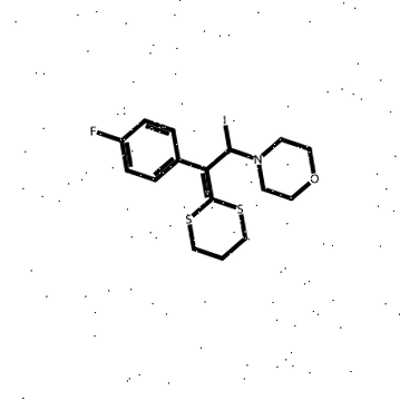 Fc1ccc(C(=C2SCCCS2)C(I)N2CCOCC2)cc1